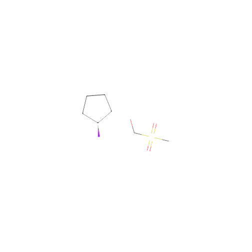 CS(=O)(=O)CO[C@H]1CCC[C@@H]1I